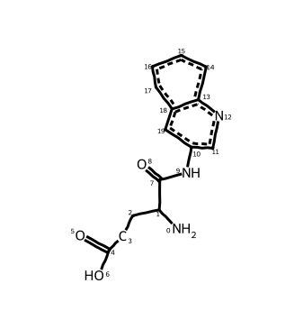 NC(CCC(=O)O)C(=O)Nc1cnc2ccccc2c1